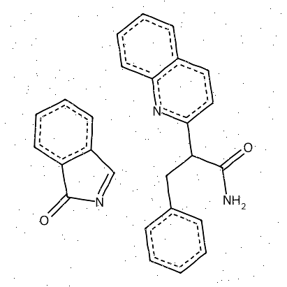 NC(=O)C(Cc1ccccc1)c1ccc2ccccc2n1.O=C1N=Cc2ccccc21